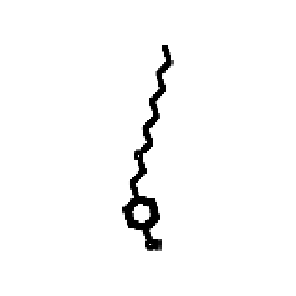 CCCCCCCCOCCc1ccc(O)cc1